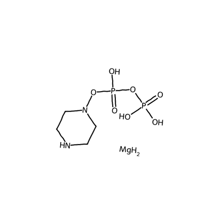 O=P(O)(O)OP(=O)(O)ON1CCNCC1.[MgH2]